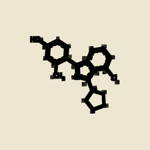 Cc1cc(O)ccc1-c1nn(C2CCCC2)c2c(Cl)cccc12